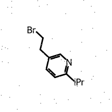 CC(C)c1ccc(CCBr)cn1